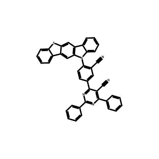 N#Cc1cc(-c2nc(-c3ccccc3)nc(-c3ccccc3)c2C#N)ccc1-n1c2ccccc2c2cc3sc4ccccc4c3cc21